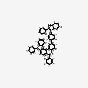 C1=CC2N=C(c3ccccc3)N(c3ccc(-c4ccc5nc(-c6ccccc6)c6ccc7c(c8ccccc8n7-c7ccccc7)c6c5c4)cc3)C2C=C1